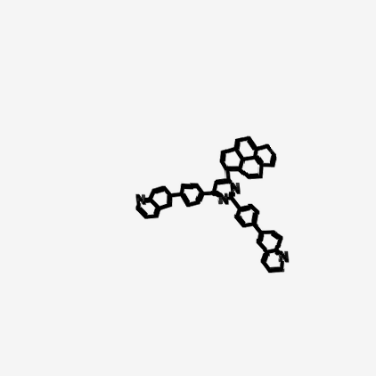 C1=CC2=C3C(=CC=C4C=CC(c5cc(-c6ccc(-c7ccc8ncccc8c7)cc6)nc(-c6ccc(-c7ccc8ncccc8c7)cc6)n5)=C(C=C2)C43)C1